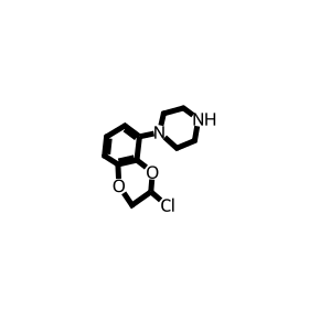 ClC1COc2cccc(N3CCNCC3)c2O1